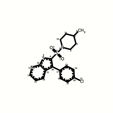 CC1CCN(S(=O)(=O)c2sc3ncccc3c2-c2ccc(Cl)cc2)CC1